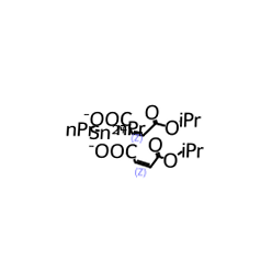 CC(C)OC(=O)/C=C\C(=O)[O-].CC(C)OC(=O)/C=C\C(=O)[O-].CC[CH2][Sn+2][CH2]CC